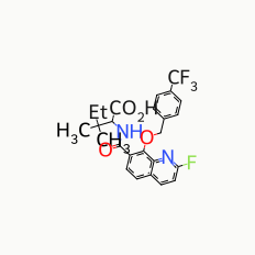 CCC(C)(C)C(NC(=O)c1ccc2ccc(F)nc2c1OCc1ccc(C(F)(F)F)cc1)C(=O)O